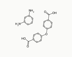 Nc1cccc(N)c1.O=C(O)c1ccc(Oc2ccc(C(=O)O)cc2)cc1